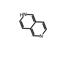 [C]1=C2C=CNC=C2C=C[N]1